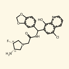 N[C@H]1CN(CC(=O)NC(c2ccc3c(c2)OCO3)c2cc(Cl)c3cccnc3c2O)C[C@H]1F